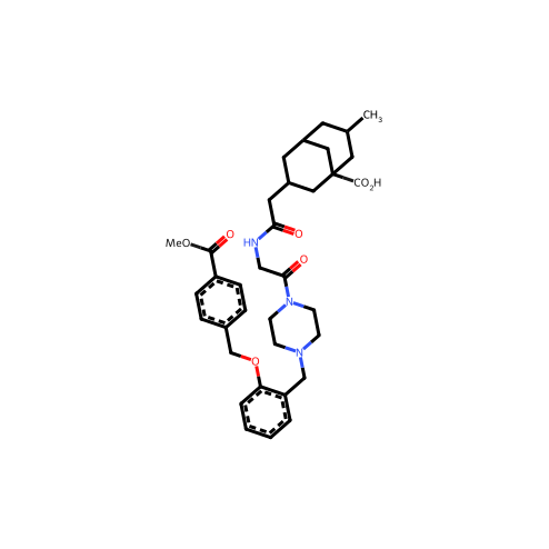 COC(=O)c1ccc(COc2ccccc2CN2CCN(C(=O)CNC(=O)CC3CC4CC(C)CC(C(=O)O)(C3)C4)CC2)cc1